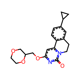 O=c1nc(OCC2COCCO2)cc2n1CCc1cc(C3CC3)ccc1-2